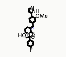 COc1cc(/C=C2\CCCN3C2=NOC3(CO)c2ccc(F)cc2)ccc1-c1ccn[nH]1